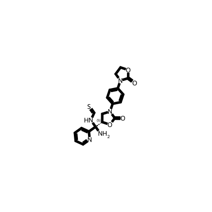 NC(NC=S)(c1ccccn1)[C@@H]1CN(c2ccc(N3CCOC3=O)cc2)C(=O)O1